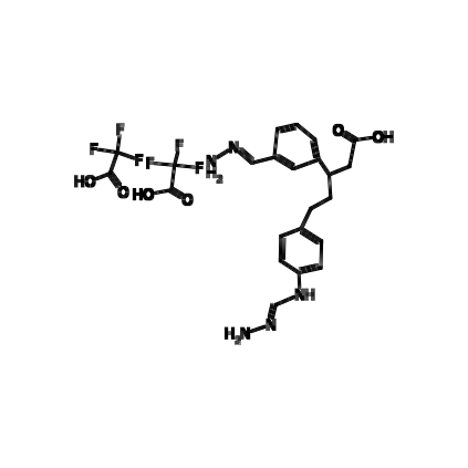 NN=CNc1ccc(CCC(CC(=O)O)c2cccc(C=NN)c2)cc1.O=C(O)C(F)(F)F.O=C(O)C(F)(F)F